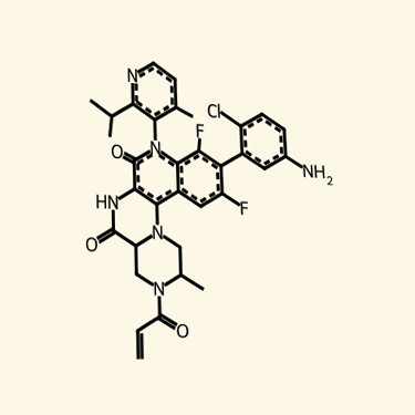 C=CC(=O)N1CC2C(=O)Nc3c(c4cc(F)c(-c5cc(N)ccc5Cl)c(F)c4n(-c4c(C)ccnc4C(C)C)c3=O)N2CC1C